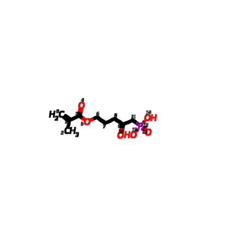 C=C(C)C(=O)OCCCC(=O)CP(=O)(O)O